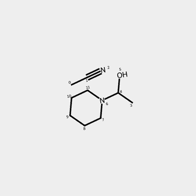 CC#N.CC(O)N1CCCCC1